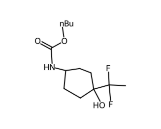 CCCCOC(=O)NC1CCC(O)(C(C)(F)F)CC1